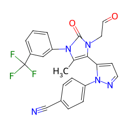 Cc1c(-c2ccnn2-c2ccc(C#N)cc2)n(CC=O)c(=O)n1-c1cccc(C(F)(F)F)c1